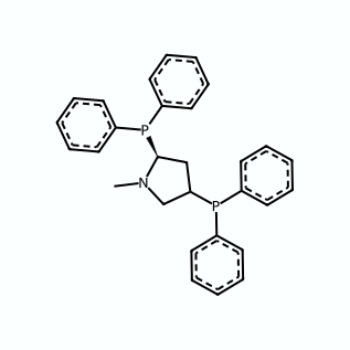 CN1CC(P(c2ccccc2)c2ccccc2)C[C@@H]1P(c1ccccc1)c1ccccc1